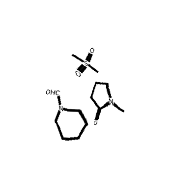 CN1CCCC1=O.CS(C)(=O)=O.O=CN1CCCCC1